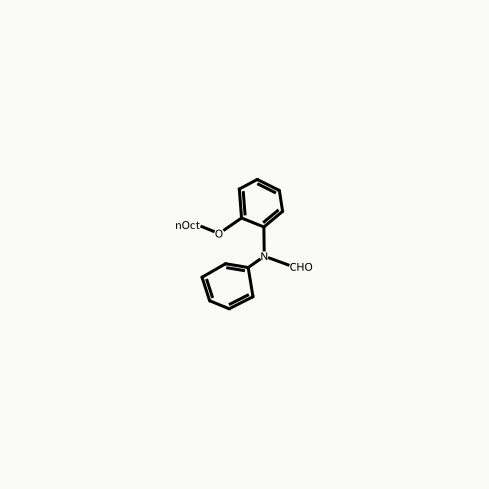 CCCCCCCCOc1ccccc1N(C=O)c1ccccc1